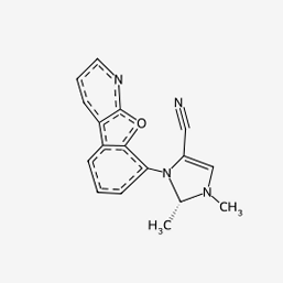 C[C@H]1N(C)C=C(C#N)N1c1cccc2c1oc1ncccc12